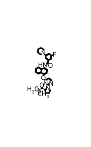 CN(C)C(=O)[C@@H]1CCCN1c1nccc(Oc2ccc(NC(=O)c3cc(F)cc(N4CCCCC4)c3)c3ccccc23)n1